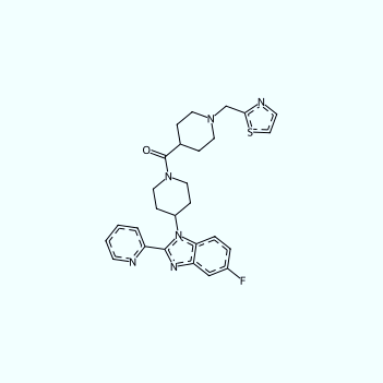 O=C(C1CCN(Cc2nccs2)CC1)N1CCC(n2c(-c3ccccn3)nc3cc(F)ccc32)CC1